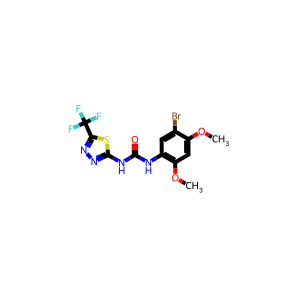 COc1cc(OC)c(NC(=O)Nc2nnc(C(F)(F)F)s2)cc1Br